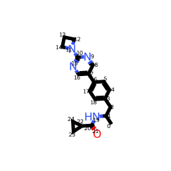 CC(Cc1ccc(-c2cnc(N3CCC3)nc2)cc1)NC(=O)C1CC1